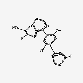 COc1cc(-c2cccc(F)c2)c(Cl)cc1-c1nccc2cc(O)c(F)cc12